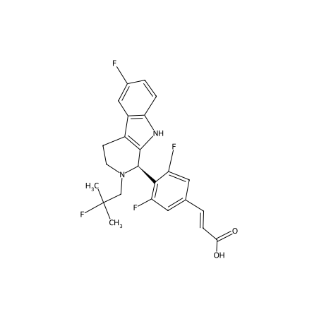 CC(C)(F)CN1CCc2c([nH]c3ccc(F)cc23)[C@H]1c1c(F)cc(/C=C/C(=O)O)cc1F